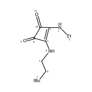 CCNc1c(NCCC(C)(C)C)c(=O)c1=O